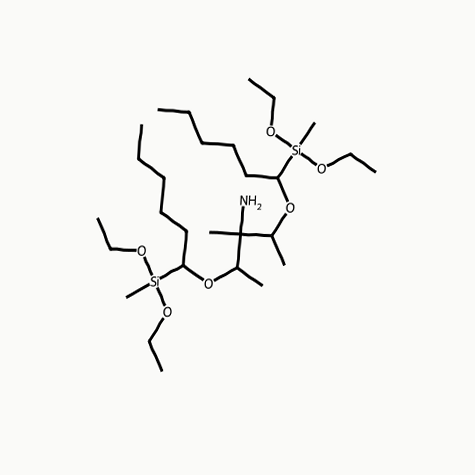 CCCCCC(OC(C)C(C)(N)C(C)OC(CCCCC)[Si](C)(OCC)OCC)[Si](C)(OCC)OCC